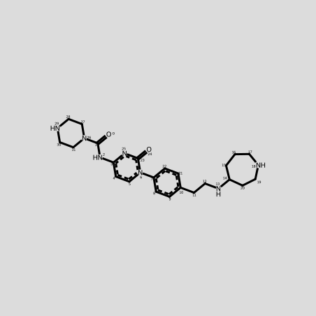 O=C(Nc1ccn(-c2ccc(CCNC3CCCNCC3)cc2)c(=O)n1)N1CCNCC1